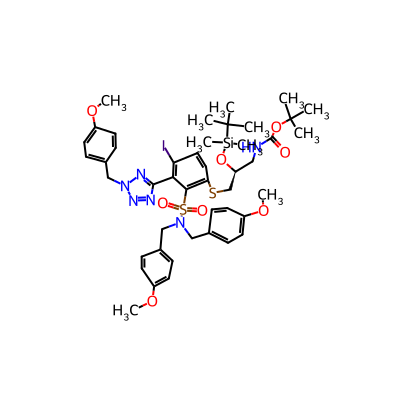 COc1ccc(CN(Cc2ccc(OC)cc2)S(=O)(=O)c2c(SC[C@H](CNC(=O)OC(C)(C)C)O[Si](C)(C)C(C)(C)C)ccc(I)c2-c2nnn(Cc3ccc(OC)cc3)n2)cc1